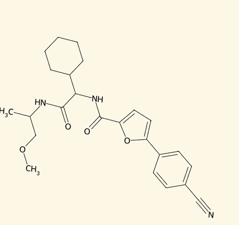 COCC(C)NC(=O)C(NC(=O)c1ccc(-c2ccc(C#N)cc2)o1)C1CCCCC1